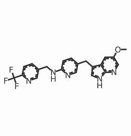 COc1cnc2[nH]cc(Cc3ccc(NCc4ccc(C(F)(F)F)nc4)nc3)c2c1